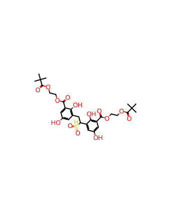 CC(C)(C)C(=O)OCCOC(=O)c1cc(O)cc(CC(c2cc(O)cc(C(=O)OCCOC(=O)C(C)(C)C)c2O)[SH](=O)=O)c1O